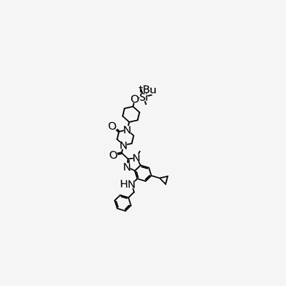 Cn1c(C(=O)N2CCN(C3CCC(O[Si](C)(C)C(C)(C)C)CC3)C(=O)C2)nc2c(NCc3ccccc3)cc(C3CC3)cc21